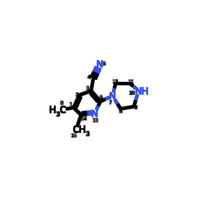 Cc1cc(C#N)c(N2CCNCC2)nc1C